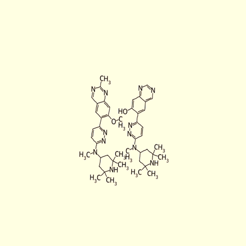 CN(c1ccc(-c2cc3cncnc3cc2O)nn1)C1CC(C)(C)NC(C)(C)C1.COc1cc2nc(C)ncc2cc1-c1ccc(N(C)C2CC(C)(C)NC(C)(C)C2)nn1